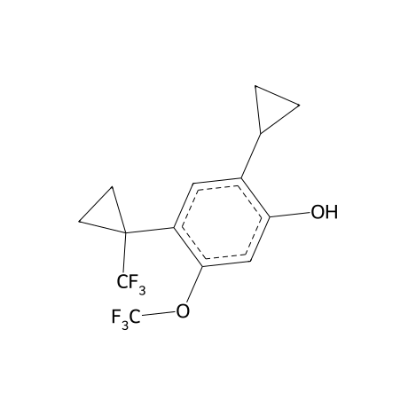 Oc1cc(OC(F)(F)F)c(C2(C(F)(F)F)CC2)cc1C1CC1